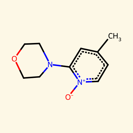 Cc1cc[n+]([O-])c(N2CCOCC2)c1